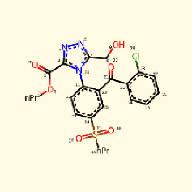 CCCOC(=O)c1nnc(CO)n1-c1ccc(S(=O)(=O)CCC)cc1C(=O)c1ccccc1Cl